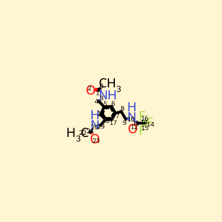 CC(=O)NCc1cc(CCNC(=O)C(F)(F)F)cc(CNC(C)=O)c1